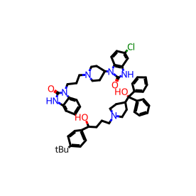 CC(C)(C)c1ccc(C(O)CCCN2CCC(C(O)(c3ccccc3)c3ccccc3)CC2)cc1.O=c1[nH]c2ccccc2n1CCCN1CCC(n2c(=O)[nH]c3cc(Cl)ccc32)CC1